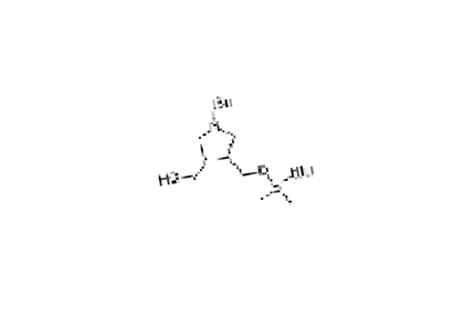 CC(C)(C)N1CC(CO)C(CO[Si](C)(C)C(C)(C)C)C1